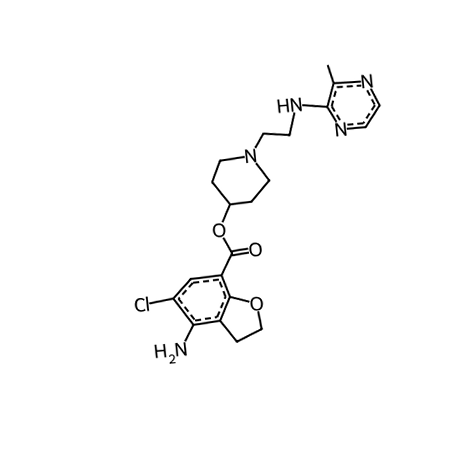 Cc1nccnc1NCCN1CCC(OC(=O)c2cc(Cl)c(N)c3c2OCC3)CC1